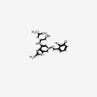 CC(C)C[C@H](CO)NC1=CN(SCc2cccc(Cl)c2F)Cc2sc(N)nc21